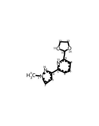 Cn1ccc(-c2cccc(C3OCCO3)n2)n1